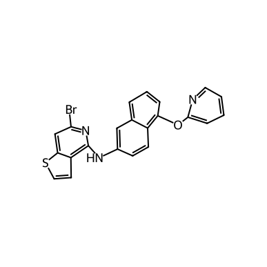 Brc1cc2sccc2c(Nc2ccc3c(Oc4ccccn4)cccc3c2)n1